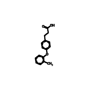 Cc1ccccc1Oc1ccc(CCC(=O)O)cc1